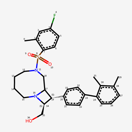 Cc1cc(F)ccc1S(=O)(=O)N1CCCCN2C(C1)[C@H](c1ccc(-c3cccc(C)c3C)cc1)[C@H]2CO